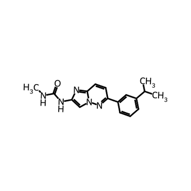 CNC(=O)Nc1cn2nc(-c3cccc(C(C)C)c3)ccc2n1